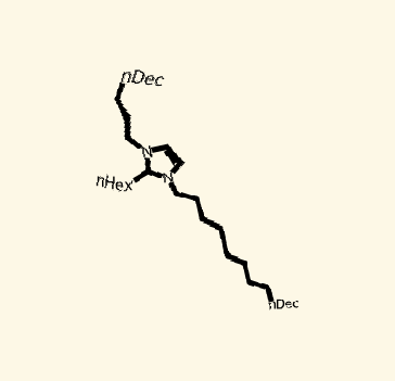 CCCCCCCCCCCCCCCCCCN1C=CN(CCCCCCCCCCCCC)C1CCCCCC